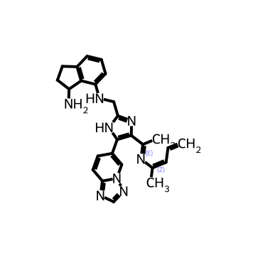 C=C/C=C(C)\N=C(/C)c1nc(CNc2cccc3c2C(N)CC3)[nH]c1-c1ccc2ncnn2c1